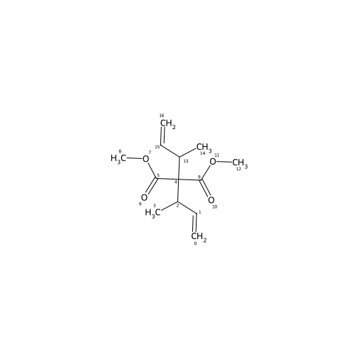 C=CC(C)C(C(=O)OC)(C(=O)OC)C(C)C=C